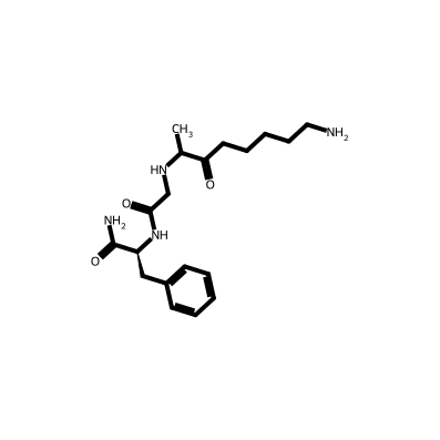 CC(NCC(=O)N[C@@H](Cc1ccccc1)C(N)=O)C(=O)CCCCCN